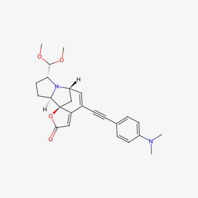 COC(OC)[C@H]1CC[C@H]2N1[C@@H]1C=C(C#Cc3ccc(N(C)C)cc3)C3=CC(=O)O[C@@]32C1